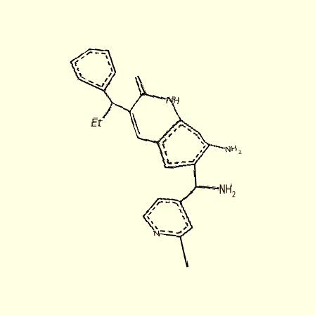 C=C1Nc2cc(N)c(C(N)c3ccnc(C)c3)cc2C=C1C(CC)c1ccccc1